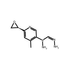 Cc1cc([C@H]2CO2)ncc1N(N)/C=N\N